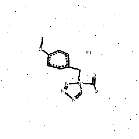 COc1ccc(C[N+]2(C(=O)[O-])C=NN=N2)cc1.[KH]